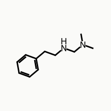 CN(C)CNCCc1ccccc1